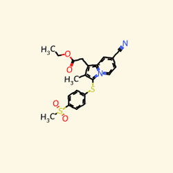 CCOC(=O)Cc1c(C)c(Sc2ccc(S(C)(=O)=O)cc2)n2ccc(C#N)cc12